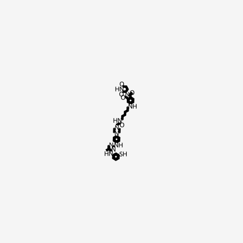 Cc1cnc(Nc2ccc(N3CCN(CC(=O)NCCCCCCNc4ccc5c(c4)C(=O)N(C4CCC(=O)NC4=O)C5=O)CC3)cc2)nc1Nc1cccc(S)c1